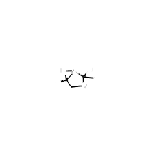 CC1(C)NCC2(C)NN12